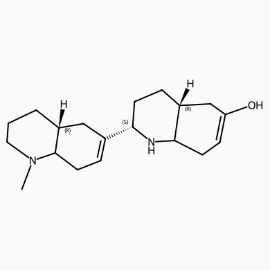 CN1CCC[C@@H]2CC([C@@H]3CC[C@@H]4CC(O)=CCC4N3)=CCC21